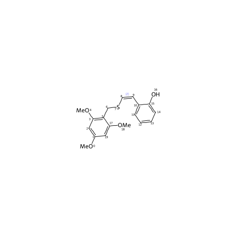 COc1cc(OC)c(CS/C=C\c2ccccc2O)c(OC)c1